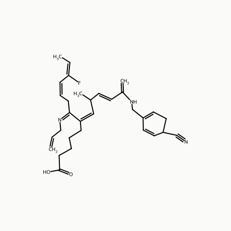 C=CC/N=C(C/C=C\C(F)=C/C)\C(=C/C(C)/C=C/C(=C)NCC1=CCC(C#N)C=C1)CCCCC(=O)O